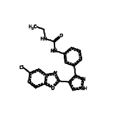 CCNC(=O)Nc1cccc(-c2n[nH]cc2-c2nc3cc(Cl)ccc3o2)c1